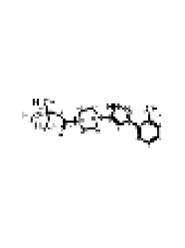 Cc1ccccc1-c1cc(N2CCN(C(=O)OC(C)(C)C)CC2)[nH]n1